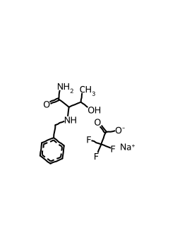 CC(O)C(NCc1ccccc1)C(N)=O.O=C([O-])C(F)(F)F.[Na+]